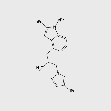 CCCn1c(C(C)C)cc2c(CC(C)Cn3cc(C(C)C)cn3)cccc21